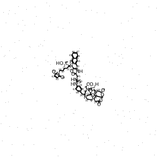 O=C(O)CN1CCN2CCN3CCN(CC(=O)OC(OC(=O)C2)OC(=O)C3)C(Cc2ccc(NC(=S)NCC(=O)N[C@@H](Cc3ccc4ccccc4c3)C(=O)N[C@@H](CCCCN3C(=O)C=CC3=O)C(=O)O)cc2)C1